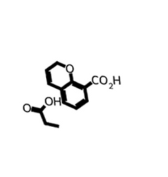 CCC(=O)O.O=C(O)c1cccc2c1OCC=C2